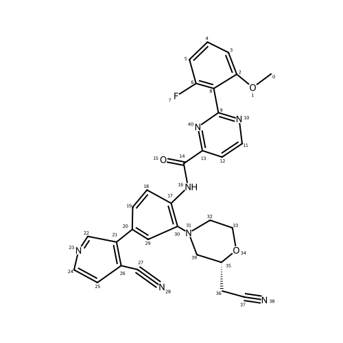 COc1cccc(F)c1-c1nccc(C(=O)Nc2ccc(-c3cnccc3C#N)cc2N2CCO[C@H](CC#N)C2)n1